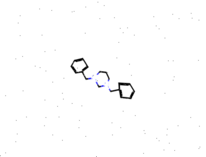 c1ccc(CN2CCCN(Cc3ccccc3)C2)cc1